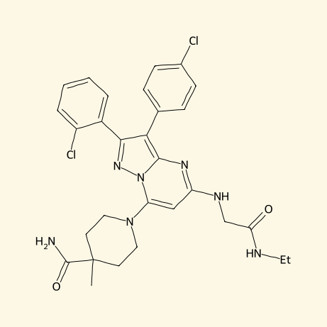 CCNC(=O)CNc1cc(N2CCC(C)(C(N)=O)CC2)n2nc(-c3ccccc3Cl)c(-c3ccc(Cl)cc3)c2n1